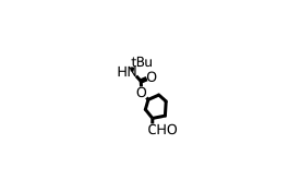 CC(C)(C)NC(=O)OC1CCCC(C=O)C1